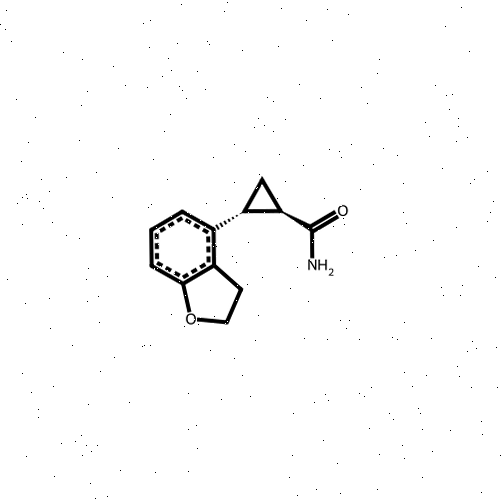 NC(=O)[C@@H]1C[C@H]1c1cccc2c1CCO2